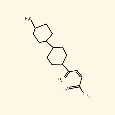 C=C(C)/C=C\C(=C)C1CCC(C2CCC(C)CC2)CC1